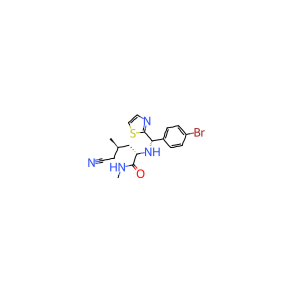 CNC(=O)[C@H](C[C@H](C)CC#N)N[C@@H](c1ccc(Br)cc1)c1nccs1